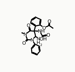 CC(=O)Oc1ccccc1C1(NC(=O)O)C(=O)N(C)C(=O)N(c2ccccc2)C1N